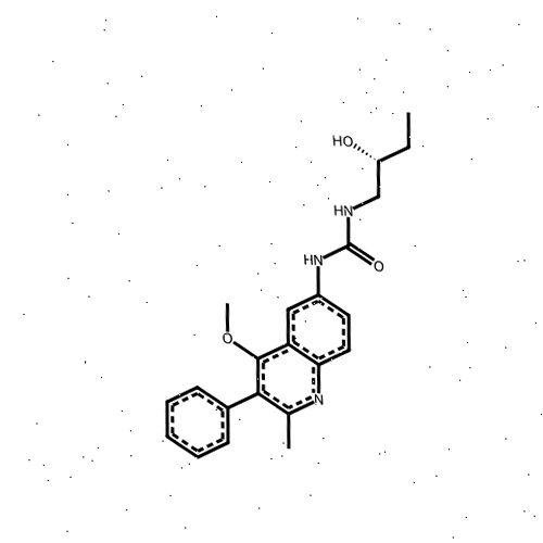 CC[C@@H](O)CNC(=O)Nc1ccc2nc(C)c(-c3ccccc3)c(OC)c2c1